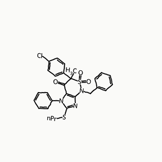 CCCSc1nc2c(n1-c1ccccc1)C(=O)C(C)(c1ccc(Cl)cc1)S(=O)(=O)N2Cc1ccccc1